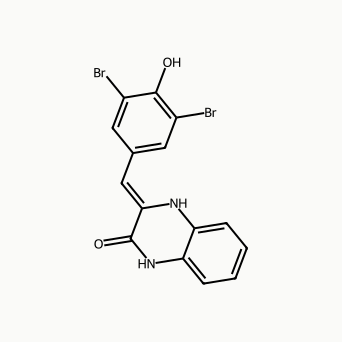 O=C1Nc2ccccc2N/C1=C\c1cc(Br)c(O)c(Br)c1